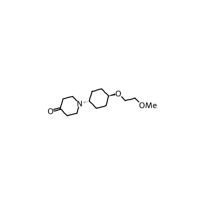 COCCO[C@H]1CC[C@H](N2CCC(=O)CC2)CC1